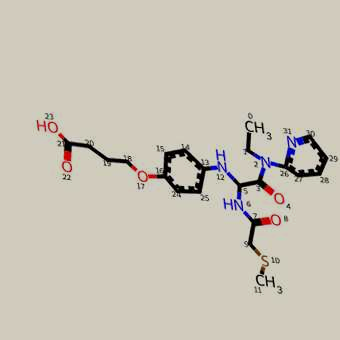 CCN(C(=O)C(NC(=O)CSC)Nc1ccc(OCCCC(=O)O)cc1)c1ccccn1